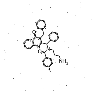 Cc1ccc(C(=O)N(CCCN)C(c2ccccc2)c2nc3ccccn3c(=O)c2Cc2ccccc2)cc1